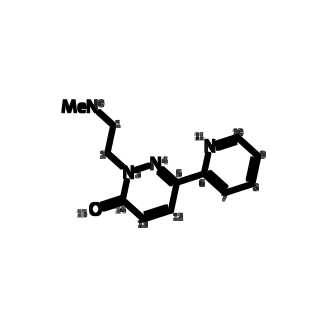 CNCCn1nc(-c2ccccn2)ccc1=O